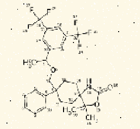 CC(OCC1(c2ccccc2)CCC2(CC1)NC(=O)OC2(C)C)c1cc(C(F)(F)F)cc(C(F)(F)F)c1